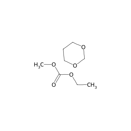 C1COCOC1.CCOC(=O)OC